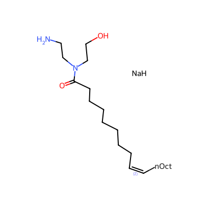 CCCCCCCC/C=C\CCCCCCCC(=O)N(CCN)CCO.[NaH]